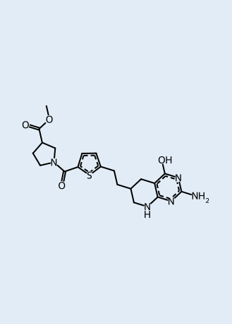 COC(=O)C1CCN(C(=O)c2ccc(CCC3CNc4nc(N)nc(O)c4C3)s2)C1